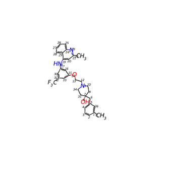 Cc1cccc(CC2(O)CCN(CCOc3cc(Nc4cc(C)nc5ccccc45)cc(C(F)(F)F)c3)CC2)c1